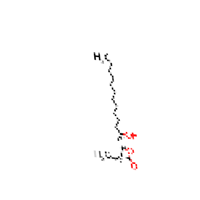 CCCCCCCCCCC[C@@H](O)C[C@@H]1OC(=O)[C@H]1CC